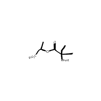 CCCCCC(C)(C)C(=O)OC(C)C(=O)OCC